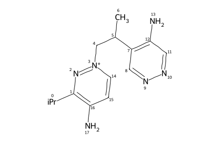 CC(C)c1n[n+](CC(C)c2cnncc2N)ccc1N